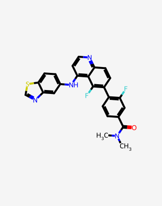 CN(C)C(=O)c1ccc(-c2ccc3nccc(Nc4ccc5scnc5c4)c3c2F)c(F)c1